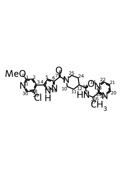 COc1cc(-c2cc(C(=O)N3CCC(C(=O)NC(C)c4ncccn4)CC3)n[nH]2)c(Cl)cn1